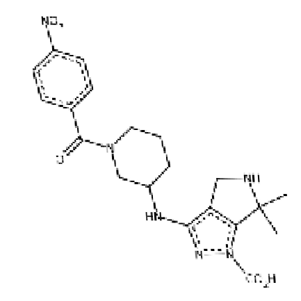 CC1(C)NCc2c(NC3CCCN(C(=O)c4ccc([N+](=O)[O-])cc4)C3)nn(C(=O)O)c21